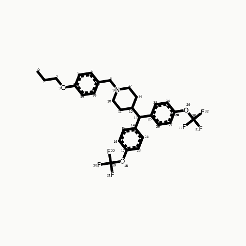 CCCOc1ccc(CN2CCC(C(c3ccc(OC(F)(F)F)cc3)c3ccc(OC(F)(F)F)cc3)CC2)cc1